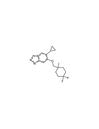 CC1(COc2cc3nncn3cc2C2CC2)CCC(F)(F)CC1